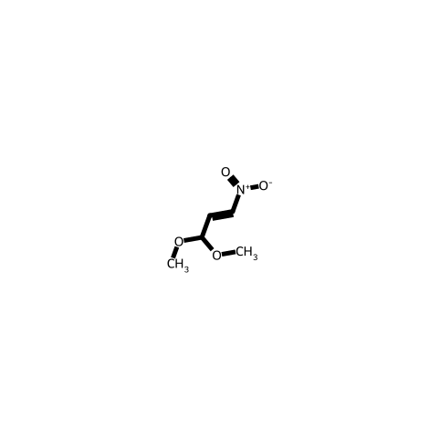 COC(C=C[N+](=O)[O-])OC